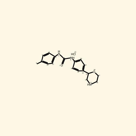 Cc1ccc(NC(=O)Nc2ccc(C3CNCCO3)cc2)cc1.Cl